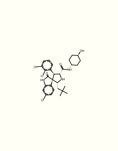 CC(C)(C)C[C@H]1N[C@@H](C(=O)N[C@H]2CC[C@H](O)CC2)[C@H](c2cccc(Cl)c2Cl)[C@@]12C(=O)Nc1cc(Cl)ccc12